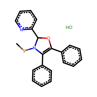 CSN1C(c2ccccc2)=C(c2ccccc2)OC1c1ccccn1.Cl